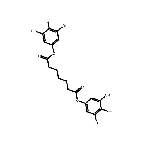 CCc1c(O)cc(OC(=O)CCCCCC(=O)Oc2cc(O)c(CC)c(O)c2)cc1O